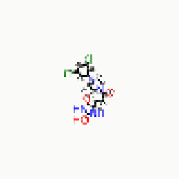 CC(CC1(C)NC(O)NC1=O)C(=O)N1CCN(c2cc(Cl)cc(Cl)c2)[C@@H](C)C1